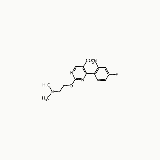 CN(C)CCOc1ncc(C(=O)O)c(-c2ccc(F)cc2Cl)n1